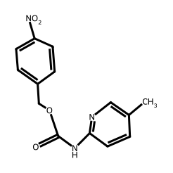 Cc1ccc(NC(=O)OCc2ccc([N+](=O)[O-])cc2)nc1